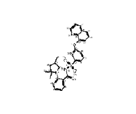 CC1CN(c2ncccc2C(=O)NS(=O)(=O)c2cccc(Oc3cccc4cccnc34)n2)C(C)(C)C1